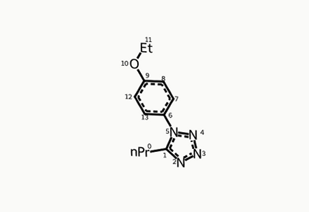 CCCc1nnnn1-c1ccc(OCC)cc1